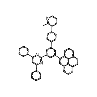 Cc1ncccc1-c1ccc(-c2cc(-c3nc(-c4ccccc4)cc(-c4ccccc4)n3)cc(-c3cc4cccc5ccc6cccc3c6c54)c2)cc1